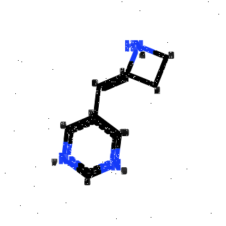 C(=C1/CCN1)/c1cncnc1